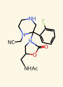 CC(=O)NCC1CN(C2(c3ccccc3F)CNCCN2CC#N)C(=O)O1